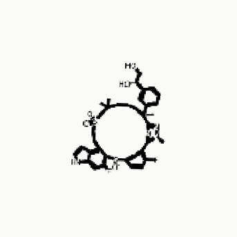 Cn1nc2nc1-c1cc(ccc1F)[S+]([O-])c1c(F)cc3[nH]ccc3c1CCS(=O)(=O)CC(C)(C)CCC[C@]2(C)c1cccc([C@H](O)CO)c1